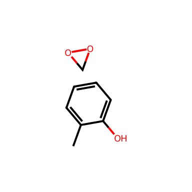 C1OO1.Cc1ccccc1O